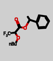 CCCCOC(C(=O)OC(C)c1ccccc1)C(F)(F)F